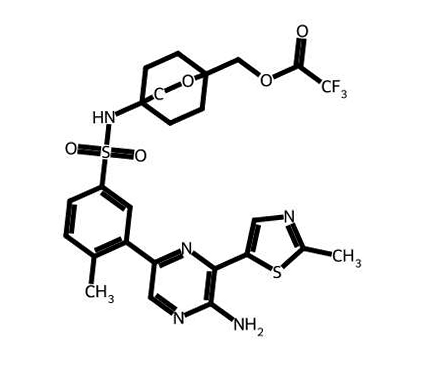 Cc1ncc(-c2nc(-c3cc(S(=O)(=O)NC45CCC(COC(=O)C(F)(F)F)(CC4)OC5)ccc3C)cnc2N)s1